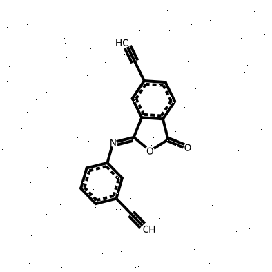 C#Cc1cccc(/N=C2\OC(=O)c3ccc(C#C)cc32)c1